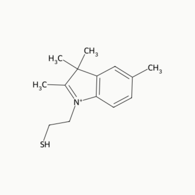 CC1=[N+](CCS)c2ccc(C)cc2C1(C)C